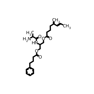 C=C(C=CC)CCCC(=O)OCC(COC(=O)CCCc1ccccc1)NC(=O)C(C)N